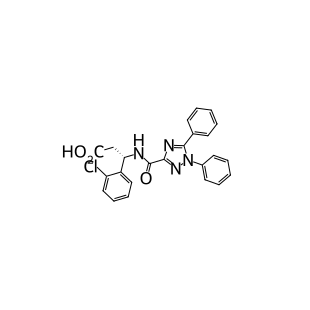 O=C(O)C[C@H](NC(=O)c1nc(-c2ccccc2)n(-c2ccccc2)n1)c1ccccc1Cl